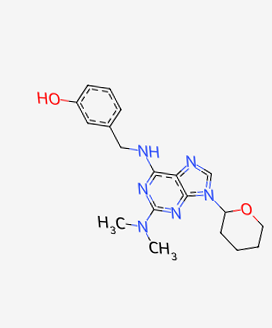 CN(C)c1nc(NCc2cccc(O)c2)c2ncn(C3CCCCO3)c2n1